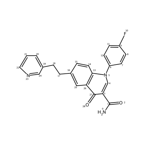 NC(=O)c1cn(-c2ccc(F)cc2)c2ccc(CCc3cccnc3)cc2c1=O